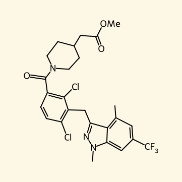 COC(=O)CC1CCN(C(=O)c2ccc(Cl)c(Cc3nn(C)c4cc(C(F)(F)F)cc(C)c34)c2Cl)CC1